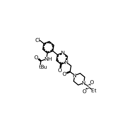 CCS(=O)(=O)N1CCN(C(=O)Cn2cnc(-c3ccc(Cl)cc3NC(=O)C(C)(C)C)cc2=O)CC1